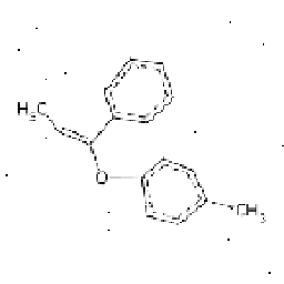 CC=C(Oc1ccc(C)cc1)c1ccccc1